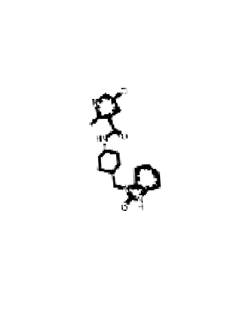 Cc1ncc(Cl)cc1C(=O)N[C@H]1CC[C@H](Cn2c(=O)[nH]c3ccccc32)CC1